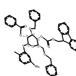 Cc1ccc(C(C)(C)C)cc1S[C@@H]1O[C@H](COCc2ccccc2)[C@@H](OC(=O)OCC2c3ccccc3-c3ccccc32)[C@H](OCc2ccccc2)[C@H]1OC(=O)c1ccccc1